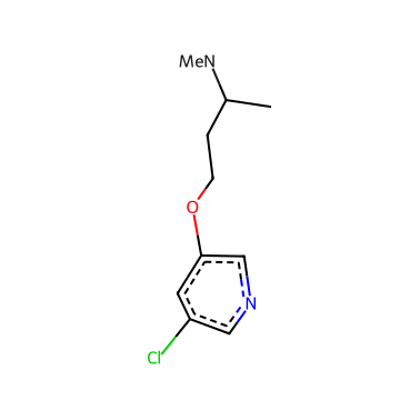 CNC(C)CCOc1cncc(Cl)c1